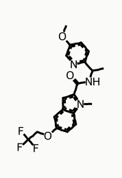 COc1ccc(C(C)NC(=O)c2cc3cc(OCC(F)(F)F)ccc3n2C)nc1